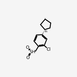 O=[SH](=O)Cc1ccc([C@@H]2C[CH]CC2)cc1Cl